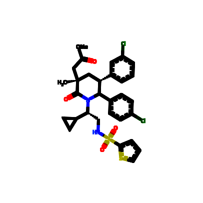 COC(=O)C[C@@]1(C)C[C@H](c2cccc(Cl)c2)C(c2ccc(Cl)cc2)N([C@H](CNS(=O)(=O)c2cccs2)C2CC2)C1=O